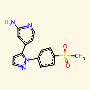 CS(=O)(=O)c1ccc(-n2nccc2-c2ccnc(N)c2)cc1